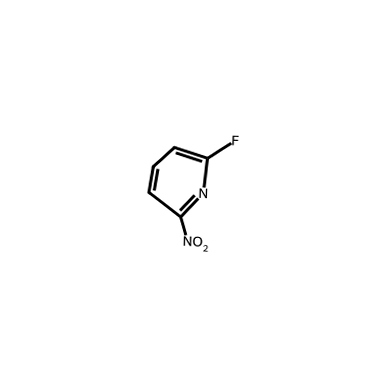 O=[N+]([O-])c1cccc(F)n1